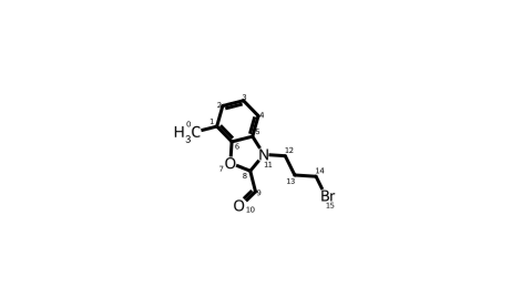 Cc1cccc2c1OC(C=O)N2CCCBr